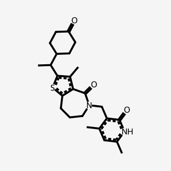 Cc1cc(C)c(CN2CCCc3sc(C(C)C4CCC(=O)CC4)c(C)c3C2=O)c(=O)[nH]1